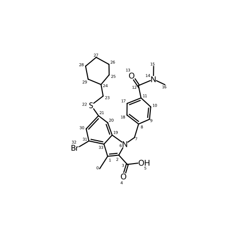 Cc1c(C(=O)O)n(Cc2ccc(C(=O)N(C)C)cc2)c2cc(SCC3CCCCC3)cc(Br)c12